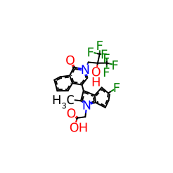 Cc1c(-c2cn(CC(O)(C(F)(F)F)C(F)(F)F)c(=O)c3ccccc23)c2cc(F)ccc2n1CC(=O)O